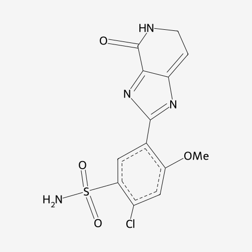 COc1cc(Cl)c(S(N)(=O)=O)cc1C1=NC2=CCNC(=O)C2=N1